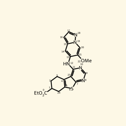 CCOC(=O)C1CCc2c(sc3ncnc(Nc4cc5ccnn5cc4OC)c23)C1